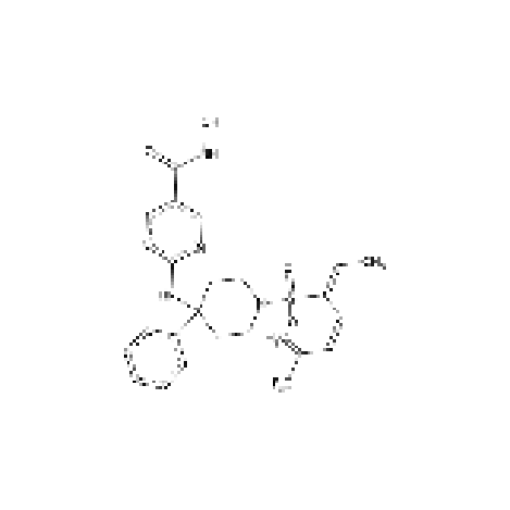 C=C(/C=C\C(=C/C)S(=O)(=O)N1CCC(Nc2ncc(C(=O)NO)cn2)(c2ccccc2)CC1)C(F)(F)F